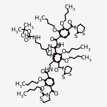 CCCCOc1c(C(=O)NCCN(CCNC(=O)c2ccc(C(=O)N3CCSC3=S)c(OCCCC)c2OCCCC)CC(CCCNC(=O)OC(C)(C)C)NC(=O)c2ccc(C(=O)N3CCSC3=S)c(OCCCC)c2OCCCC)ccc(C(=O)N2CCSC2=S)c1OCCCC